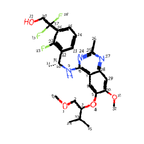 COCC(Oc1cc2c(N[C@H](C)c3cccc(C(F)(F)CO)c3F)nc(C)nc2cc1OC)C(C)C